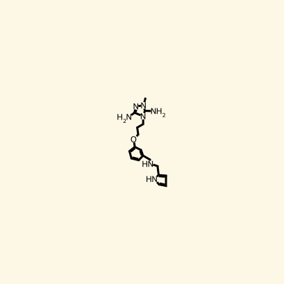 CN1N=C(N)N(CCCOc2cccc(CNCc3ccc[nH]3)c2)C1N